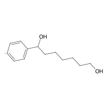 OCCCCCCC(O)c1cc[c]cc1